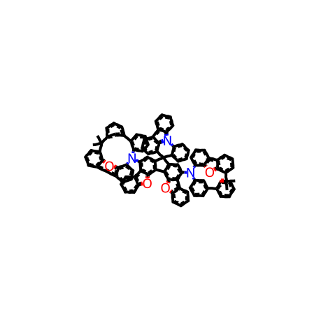 CC(C)(C)c1cccc2c1oc1c(N(c3cccc(-c4ccccc4)c3)c3cc4c(c5oc6ccccc6c35)-c3c(cc(N5c6ccccc6-c6cccc(c6)C(C)(C)c6cccc7c6oc6c5cccc67)c5c3oc3ccccc35)C43c4ccccc4-n4c5ccccc5c5cccc3c54)cccc12